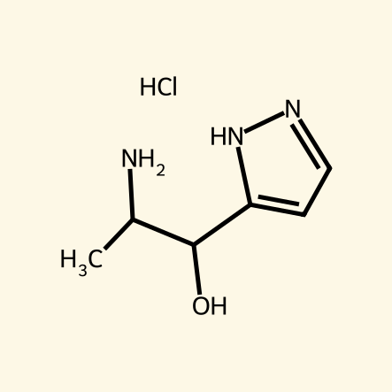 CC(N)C(O)c1ccn[nH]1.Cl